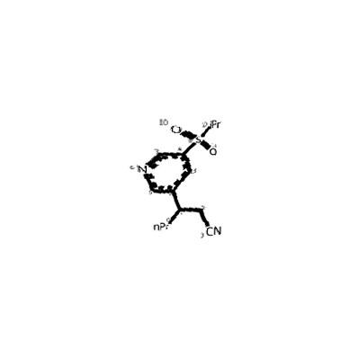 CCCC(CC#N)c1cncc(S(=O)(=O)C(C)C)c1